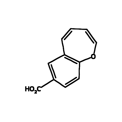 O=C(O)c1ccc2c(c1)C=CC=CO2